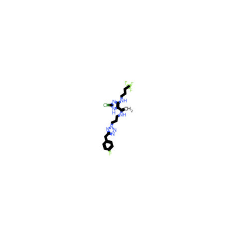 C=C(NCCCn1nnc(Cc2ccc(F)cc2)n1)c1[nH]c(Cl)nc1NCCCC(F)(F)F